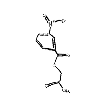 O=C(O)COC(=O)c1cccc([N+](=O)[O-])c1